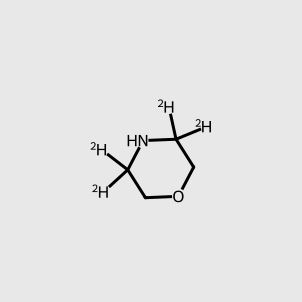 [2H]C1([2H])COCC([2H])([2H])N1